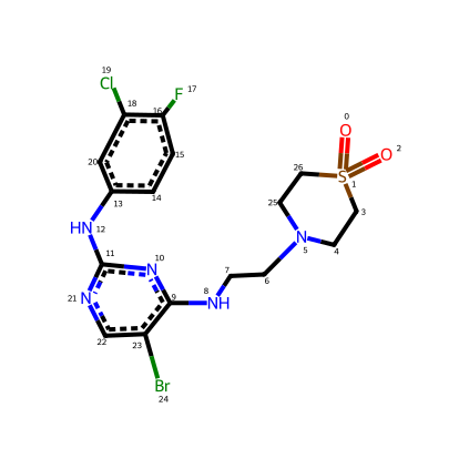 O=S1(=O)CCN(CCNc2nc(Nc3ccc(F)c(Cl)c3)ncc2Br)CC1